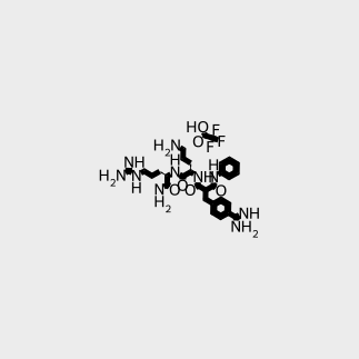 N=C(N)NCCC[C@H](NC(=O)[C@H](CCCN)NC(=O)C(Cc1ccc(C(=N)N)cc1)C(=O)Nc1ccccc1)C(N)=O.O=C(O)C(F)(F)F